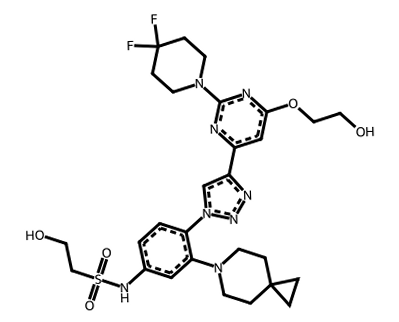 O=S(=O)(CCO)Nc1ccc(-n2cc(-c3cc(OCCO)nc(N4CCC(F)(F)CC4)n3)nn2)c(N2CCC3(CC2)CC3)c1